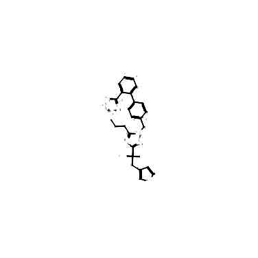 CCCc1nc(C(F)(F)Cc2ccsc2)nn1Cc1ccc(-c2ccccc2-c2nnn[nH]2)cc1